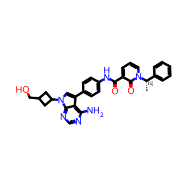 C[C@@H](c1ccccc1)n1cccc(C(=O)Nc2ccc(-c3cn(C4CC(CO)C4)c4ncnc(N)c34)cc2)c1=O